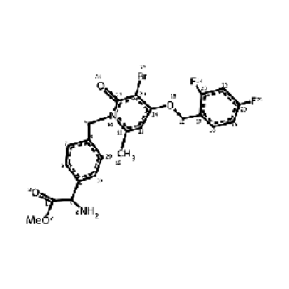 COC(=O)C(N)c1ccc(Cn2c(C)cc(OCc3ccc(F)cc3F)c(Br)c2=O)cc1